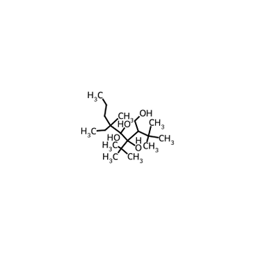 CCCC(C)(CC)C(O)(O)C(O)(C(CO)C(C)(C)C)C(C)(C)C